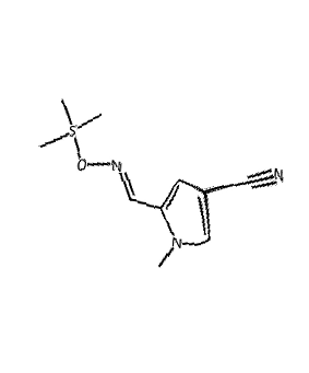 Cn1cc(C#N)cc1C=NO[Si](C)(C)C